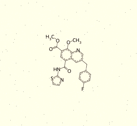 COC(=O)c1cc(C(=O)Nc2nccs2)c2cc(Cc3ccc(F)cc3)cnc2c1OC